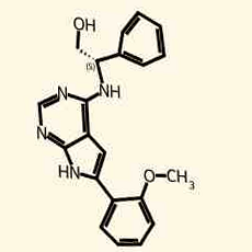 COc1ccccc1-c1cc2c(N[C@H](CO)c3ccccc3)ncnc2[nH]1